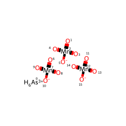 [AsH6+3].[O]=[Mn](=[O])(=[O])[O-].[O]=[Mn](=[O])(=[O])[O-].[O]=[Mn](=[O])(=[O])[O-]